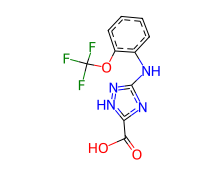 O=C(O)c1nc(Nc2ccccc2OC(F)(F)F)n[nH]1